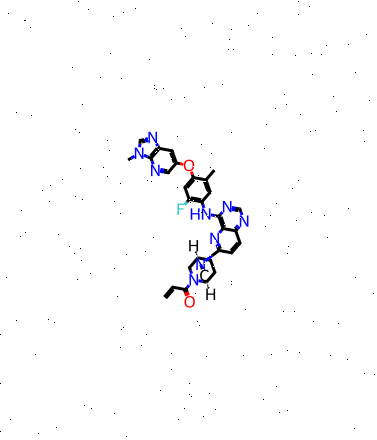 C=CC(=O)N1C[C@H]2CC[C@@H]1CN2c1ccc2ncnc(Nc3cc(C)c(Oc4cnc5c(c4)ncn5C)cc3F)c2n1